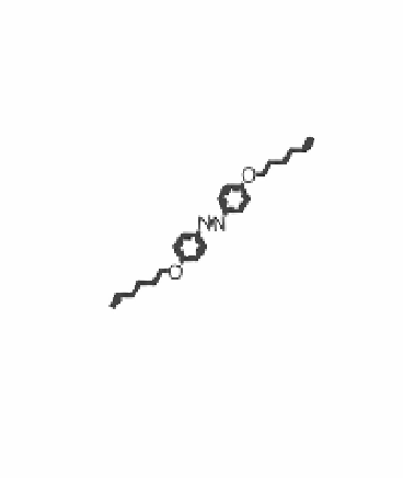 C=CCCCCOc1ccc(/N=N/c2ccc(OCCCCC=C)cc2)cc1